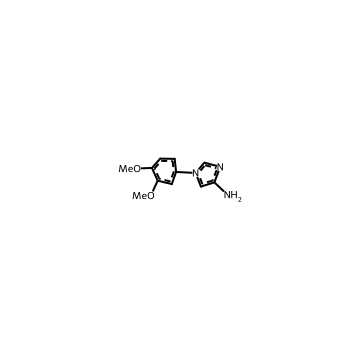 COc1ccc(-n2cnc(N)c2)cc1OC